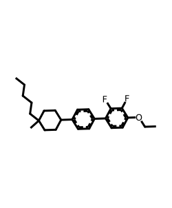 CCCCCC1(C)CCC(c2ccc(-c3ccc(OCC)c(F)c3F)cc2)CC1